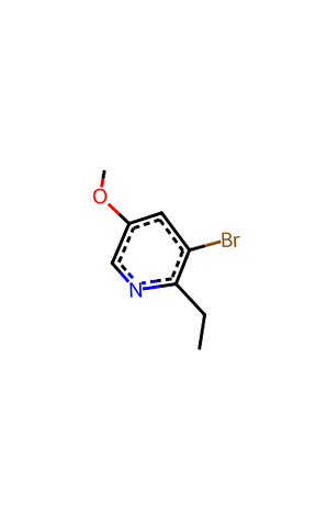 CCc1ncc(OC)cc1Br